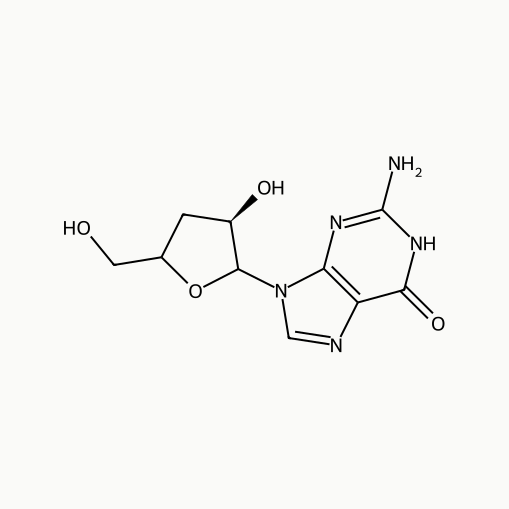 Nc1nc2c(ncn2C2OC(CO)C[C@H]2O)c(=O)[nH]1